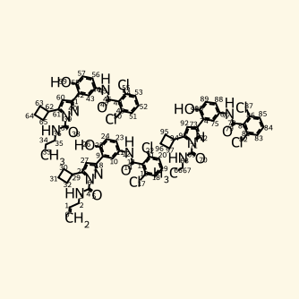 C=CCNC(=O)n1nc(-c2cc(NC(=O)c3c(Cl)cccc3Cl)ccc2O)cc1C1CCC1.CCCNC(=O)n1nc(-c2cc(NC(=O)c3c(Cl)cccc3Cl)ccc2O)cc1C1CCC1.CCNC(=O)n1nc(-c2cc(NC(=O)c3c(Cl)cccc3Cl)ccc2O)cc1C1CCC1